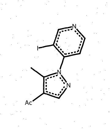 CC(=O)c1cnn(-c2ccncc2I)c1C